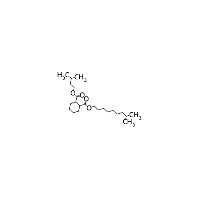 CC(C)CCCCCCCOC(=O)C1CCCCC1C(=O)OCCC(C)C